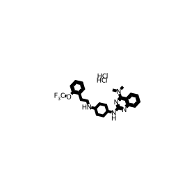 CN(C)c1nc(NC2CCC(NCCc3ccccc3OC(F)(F)F)CC2)nc2ccccc12.Cl.Cl